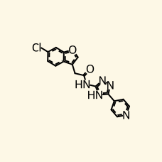 O=C(Cc1coc2cc(Cl)ccc12)Nc1nnc(-c2ccncc2)[nH]1